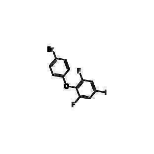 Fc1cc(I)cc(F)c1Oc1ccc(Br)cc1